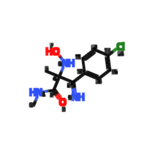 CNC(=O)C(C)(NO)C(=N)c1ccc(Cl)cc1